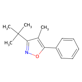 Cc1c(C(C)(C)C)noc1-c1ccccc1